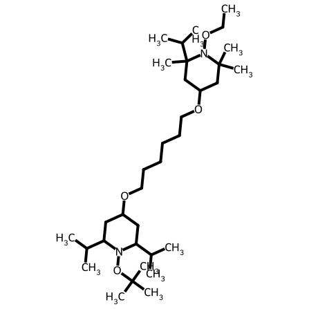 CCON1C(C)(C)CC(OCCCCCCOC2CC(C(C)C)N(OC(C)(C)C)C(C(C)C)C2)CC1(C)C(C)C